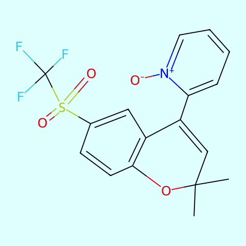 CC1(C)C=C(c2cccc[n+]2[O-])c2cc(S(=O)(=O)C(F)(F)F)ccc2O1